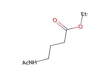 C[CH]OC(=O)CCCNC(C)=O